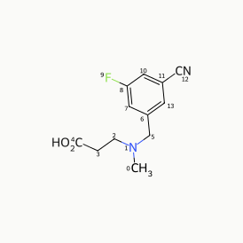 CN(CCC(=O)O)Cc1cc(F)cc(C#N)c1